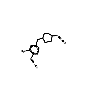 Cc1cc(CC2CCC(N=C=O)CC2)ccc1N=C=O